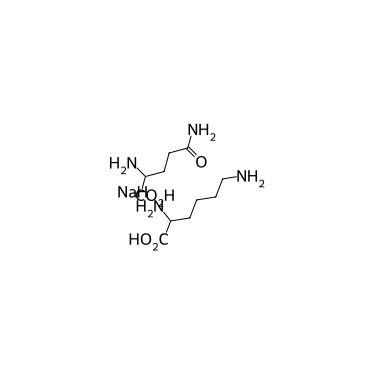 NC(=O)CCC(N)C(=O)O.NCCCCC(N)C(=O)O.[NaH]